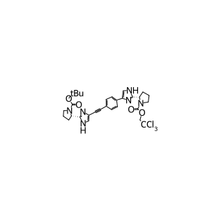 CC(C)(C)OC(=O)N1CCC[C@H]1c1nc(C#Cc2ccc(-c3c[nH]c([C@@H]4CCCN4C(=O)OCC(Cl)(Cl)Cl)n3)cc2)c[nH]1